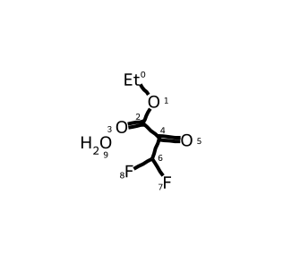 CCOC(=O)C(=O)C(F)F.O